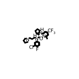 Cc1cc(C(F)(F)F)cc(N2[C@@H]3CC[C@@H](C3)[C@H]2C(=O)N(CCCN2CCCC2)c2ccc(F)c(Cl)c2)n1